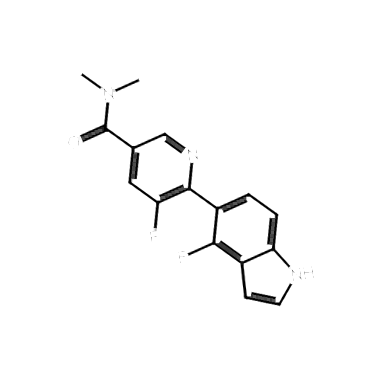 CN(C)C(=O)c1cnc(-c2ccc3[nH]ccc3c2F)c(F)c1